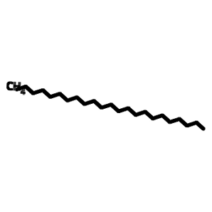 C.CCCCCCCCCCCCCCCCCCCCCCC